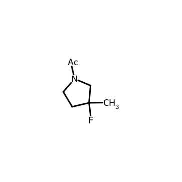 CC(=O)N1CCC(C)(F)C1